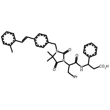 Cc1ccccc1C=Cc1ccc(CN2C(=O)N(C(CC(C)C)C(=O)NC(CC(=O)O)c3ccccc3)C(=O)C2(C)C)cc1